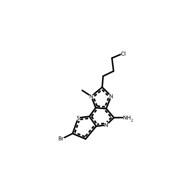 Cn1c(CCCCl)nc2c(N)nc3cc(Br)sc3c21